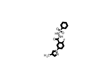 Cc1cnn(-c2ccc(F)c(C(=O)NNS(=O)(=O)c3ccccc3)c2)c1